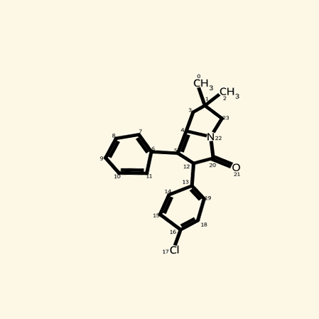 CC1(C)CC2=C(c3ccccc3)C(c3ccc(Cl)cc3)C(=O)N2C1